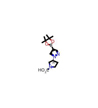 CC1(C)OB(c2cnn([C@@H]3CCN(C(=O)O)C3)c2)OC1(C)C